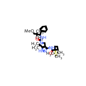 COCC(C)(C)C(NC(=O)N1Cc2c(NC(=O)C3(S(C)(C)C)CCC3)n[nH]c2C1(C)C)c1ccccc1